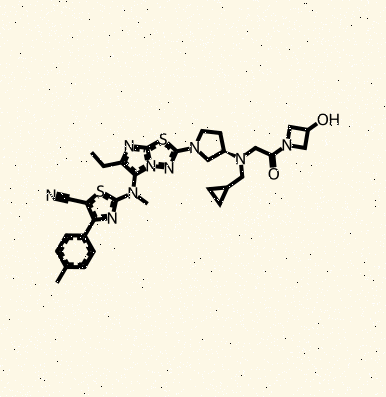 CCc1nc2sc(N3CC[C@@H](N(CC(=O)N4CC(O)C4)CC4CC4)C3)nn2c1N(C)c1nc(-c2ccc(C)cc2)c(C#N)s1